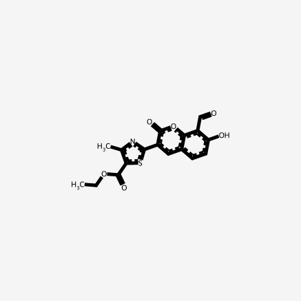 CCOC(=O)c1sc(-c2cc3ccc(O)c(C=O)c3oc2=O)nc1C